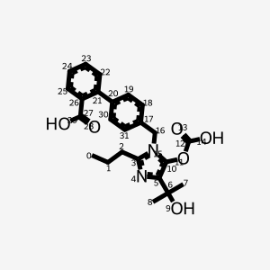 CCCc1nc(C(C)(C)O)c(OC(=O)O)n1Cc1ccc(-c2ccccc2C(=O)O)cc1